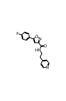 O=C(NCCc1ccncc1)c1cc(-c2ccc(F)cc2)on1